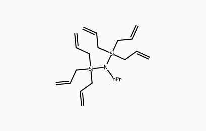 C=CC[Si](CC=C)(CC=C)N([CH]CC)[Si](CC=C)(CC=C)CC=C